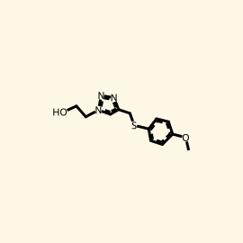 COc1ccc(SCc2cn(CCO)nn2)cc1